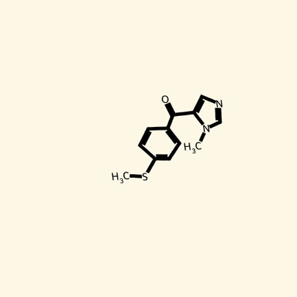 CSc1ccc(C(=O)c2cncn2C)cc1